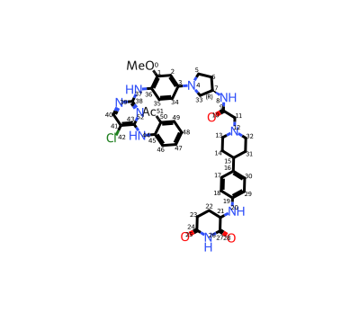 COc1cc(N2CC[C@@H](NC(=O)CN3CCC(c4ccc(NC5CCC(=O)NC5=O)cc4)CC3)C2)ccc1Nc1ncc(Cl)c(Nc2ccccc2C(C)=O)n1